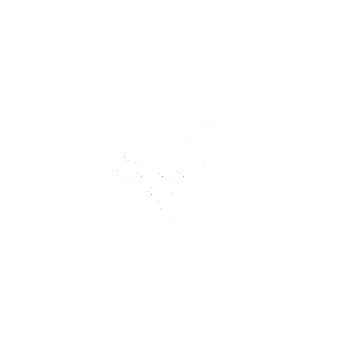 FC(F)(F)Oc1cccc(CNc2nc(-n3ccnc3)nc3ccccc23)c1